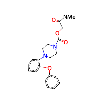 CNC(=O)COC(=O)N1CCN(c2ccccc2Oc2ccccc2)CC1